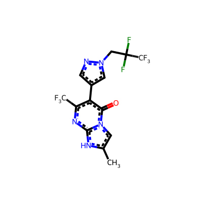 Cc1cn2c(=O)c(-c3cnn(CC(F)(F)C(F)(F)F)c3)c(C(F)(F)F)nc2[nH]1